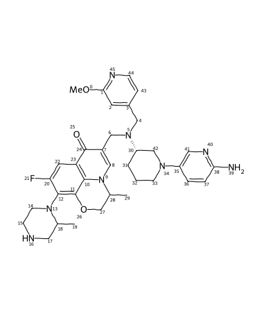 COc1cc(CN(Cc2cn3c4c(c(N5CCNCC5C)c(F)cc4c2=O)OCC3C)[C@H]2CCCN(c3ccc(N)nc3)C2)ccn1